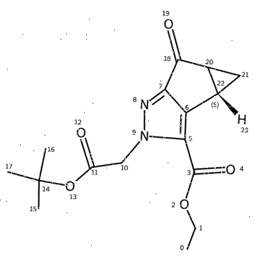 CCOC(=O)c1c2c(nn1CC(=O)OC(C)(C)C)C(=O)C1C[C@H]21